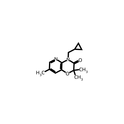 Cc1cnc2c(c1)OC(C)(C)C(=O)N2CC1CC1